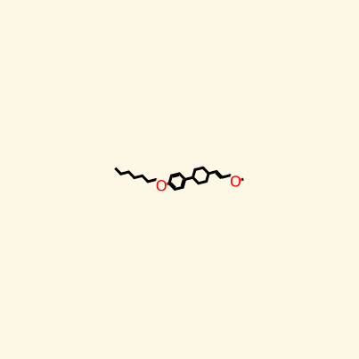 CCCCCCCOc1ccc(C2CCC(C=CCOC)CC2)cc1